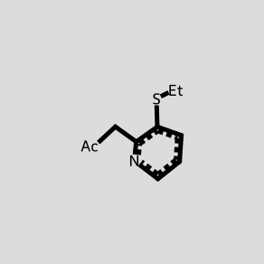 CCSc1cccnc1CC(C)=O